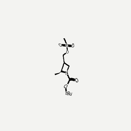 C[C@H]1C(COS(C)(=O)=O)CN1C(=O)OC(C)(C)C